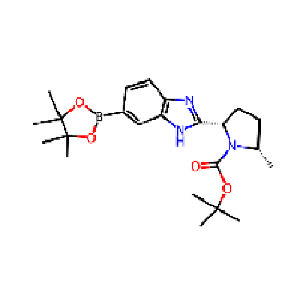 C[C@H]1CC[C@@H](c2nc3ccc(B4OC(C)(C)C(C)(C)O4)cc3[nH]2)N1C(=O)OC(C)(C)C